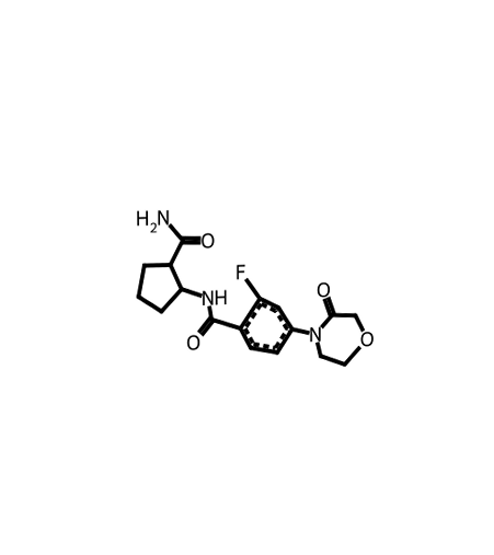 NC(=O)C1CCCC1NC(=O)c1ccc(N2CCOCC2=O)cc1F